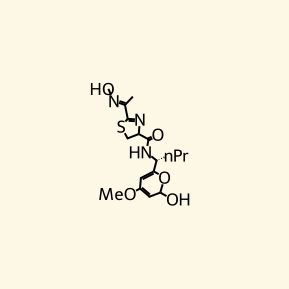 CCC[C@@H](NC(=O)C1CSC(/C(C)=N/O)=N1)C1=CC(OC)=CC(O)O1